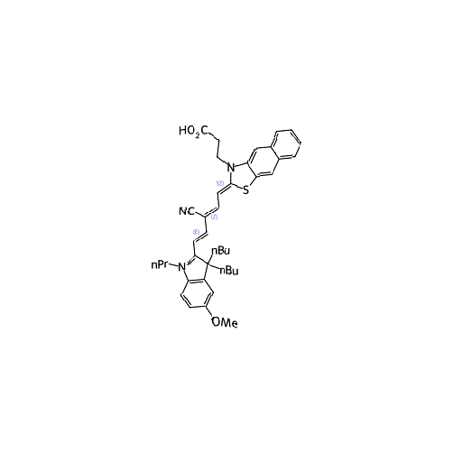 CCCCC1(CCCC)C(/C=C/C(C#N)=C/C=C2\Sc3cc4ccccc4cc3N2CCC(=O)O)=[N+](CCC)c2ccc(OC)cc21